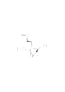 CN(C)CCn1nnnc1S.N